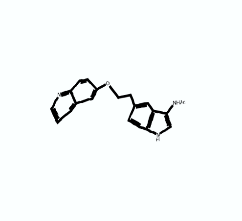 CC(=O)Nc1c[nH]c2ccc(CCOc3ccc4ncccc4c3)cc12